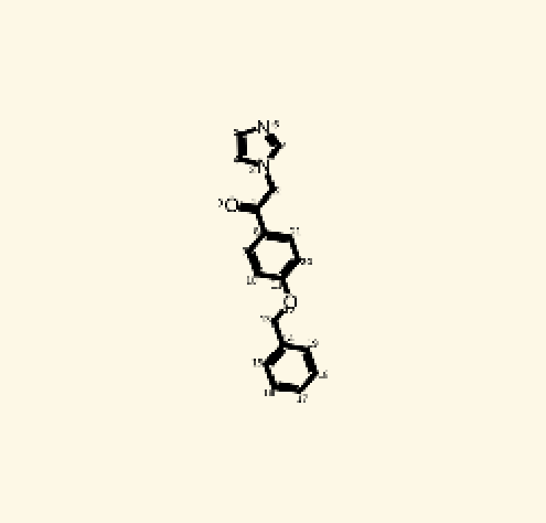 O=C(Cn1ccnc1)c1ccc(OCc2ccccc2)cc1